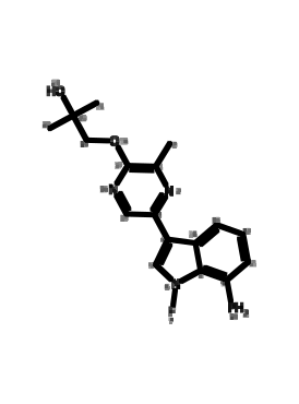 Cc1nc(-c2cn(F)c3c(P)cccc23)cnc1OCC(C)(C)O